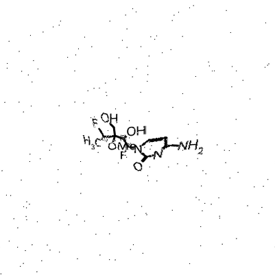 COC(CO)([C@H](C)F)[C@@H](O)[C@@H](F)n1ccc(N)nc1=O